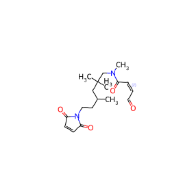 CC(CCN1C(=O)C=CC1=O)CC(C)(C)CN(C)C(=O)/C=C\C=O